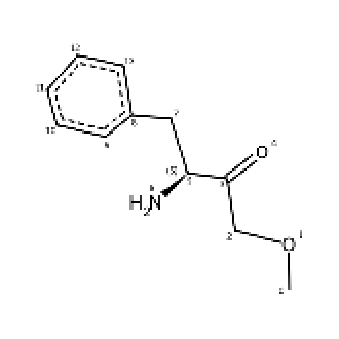 COCC(=O)[C@@H](N)Cc1ccccc1